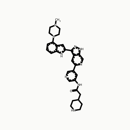 CN1CCN(c2cccc3[nH]c(-c4n[nH]c5cnc(-c6cncc(NC(=O)CC7CCNCC7)c6)cc45)cc23)CC1